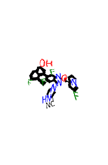 C#Cc1c(F)ccc2cc(O)cc(-c3c(F)cc4c(N5CCN[C@@H](CC#N)C5)nc(OC[C@@]56CCCN5C[C@H](F)C6)nc4c3F)c12